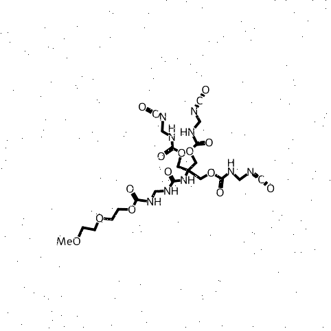 COCCOCCOC(=O)NCNC(=O)NC(COC(=O)NCN=C=O)(COC(=O)NCN=C=O)COC(=O)NCN=C=O